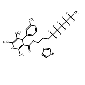 CC1=C(C(=O)O)C(c2cccc([N+](=O)[O-])c2)C(C(=O)OCCCC(F)(F)C(F)(F)C(F)(F)C(F)(F)C(F)(F)C(F)(F)F)=C(C)N1.c1c[nH]cn1